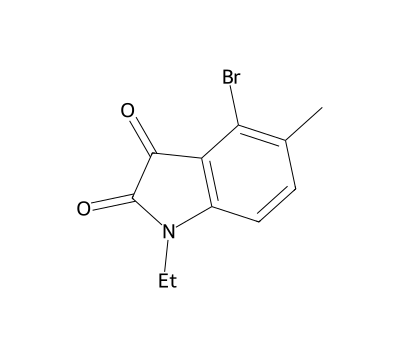 CCN1C(=O)C(=O)c2c1ccc(C)c2Br